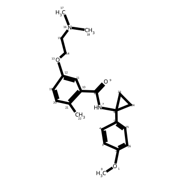 COc1ccc(C2(NC(=O)c3cc(OCCN(C)C)ccc3C)CC2)cc1